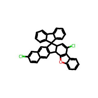 ClC1=CC2C(c3cc4ccc(Cl)cc4cc3C23c2ccccc2-c2ccccc23)c2oc3ccccc3c21